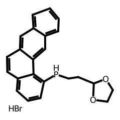 Br.c1ccc2cc3c(ccc4cccc(PCCC5OCCO5)c43)cc2c1